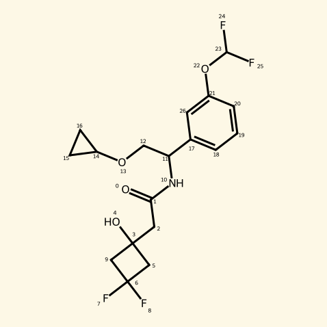 O=C(CC1(O)CC(F)(F)C1)NC(COC1CC1)c1cccc(OC(F)F)c1